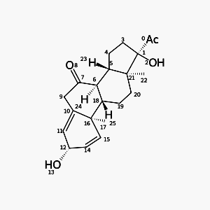 CC(=O)[C@@]1(O)CC[C@H]2[C@@H]3C(=O)CC4=C[C@@H](O)C=C[C@]4(C)[C@H]3CC[C@@]21C